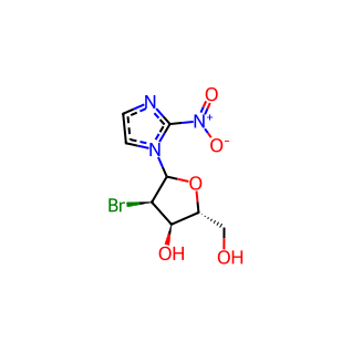 O=[N+]([O-])c1nccn1C1O[C@H](CO)[C@@H](O)[C@H]1Br